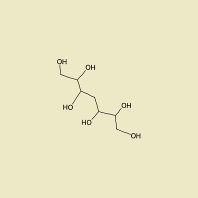 OCC(O)C(O)CC(O)C(O)CO